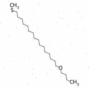 CCCCOCCCCCCCCCCCCCCCCSC